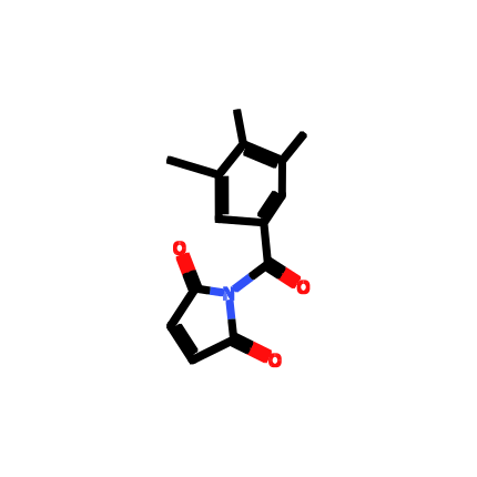 Cc1cc(C(=O)N2C(=O)C=CC2=O)cc(C)c1C